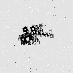 CC(=O)O[C@@H]1C2=C(C)[C@@H](OC(=O)[C@H](OC(=O)CCCCCNO)[C@@H](NC(=O)OC(C)(C)C)c3ccccc3)C[C@@](O)([C@@H](OC(=O)c3ccccc3)[C@@H]3[C@]4(OC(C)=O)CO[C@@H]4C[C@@H]4C[C@@]43C1O)C2(C)C